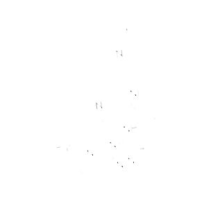 C=C(NCCCN1CCOCC1)c1cnccc1Nc1nc(-c2cccc(C(F)(F)F)n2)nn2cccc12